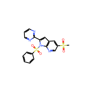 CS(=O)(=O)c1cnc2c(c1)cc(-c1ncccn1)n2S(=O)(=O)c1ccccc1